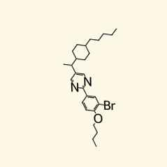 CCCCCC1CCC(C(C)c2cnc(-c3ccc(OCCCC)c(Br)c3)nc2)CC1